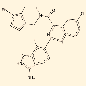 CCn1ncc(CN(C)C(=O)c2nc(-c3ccc4c(N)[nH]nc4c3C)nc3ccc(Cl)cc23)c1C